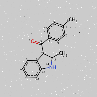 Cc1ccc(C(=O)C2c3ccccc3NC2C)cc1